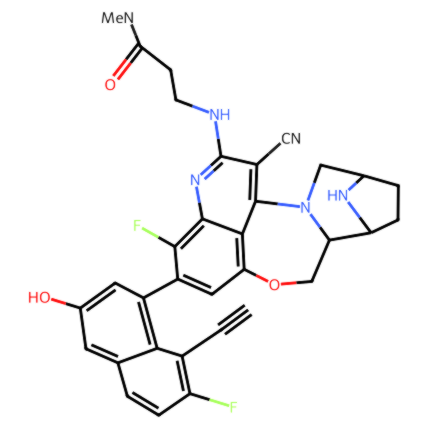 C#Cc1c(F)ccc2cc(O)cc(-c3cc4c5c(c(C#N)c(NCCC(=O)NC)nc5c3F)N3CC5CCC(N5)C3CO4)c12